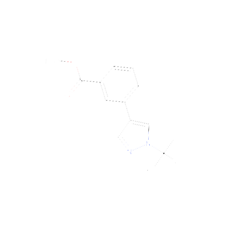 [2H]C([2H])([2H])n1cc(-c2cccc(C(=O)OC)c2)cn1